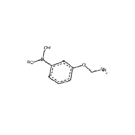 NCOc1cccc(B(O)O)c1